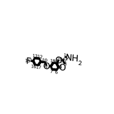 NC[C@@H]1COc2ccc(OCc3ccc(F)cc3)cc2O1